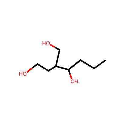 CCCC(O)C(CO)CCO